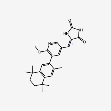 COc1ncc(/C=C2\NC(=O)NC2=O)cc1-c1cc2c(cc1C)C(C)(C)CCC2(C)C